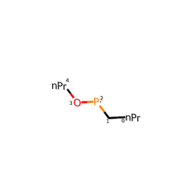 CCCC[P]OCCC